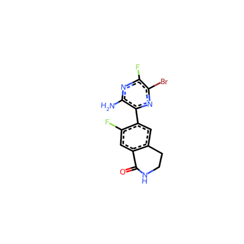 Nc1nc(F)c(Br)nc1-c1cc2c(cc1F)C(=O)NCC2